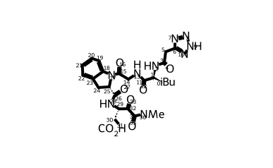 CC[C@H](C)[C@H](NC(=O)Cc1nn[nH]n1)C(=O)NCC(=O)N1c2ccccc2C[C@H]1C(=O)N[C@@H](CC(=O)O)C(=O)C(=O)NC